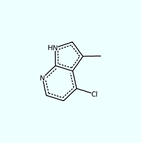 Cc1c[nH]c2nccc(Cl)c12